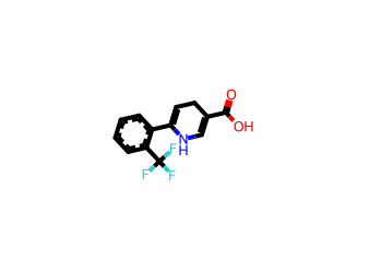 O=C(O)C1=CNC(c2ccccc2C(F)(F)F)=CC1